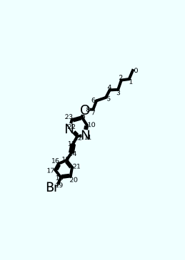 CCCCCCCCOc1cnc(C#Cc2ccc(Br)cc2)nc1